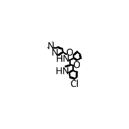 CN(C)c1ccc(C(=O)NC(c2ccccc2)c2c[nH]c3cc(Cl)ccc3c2=O)cn1